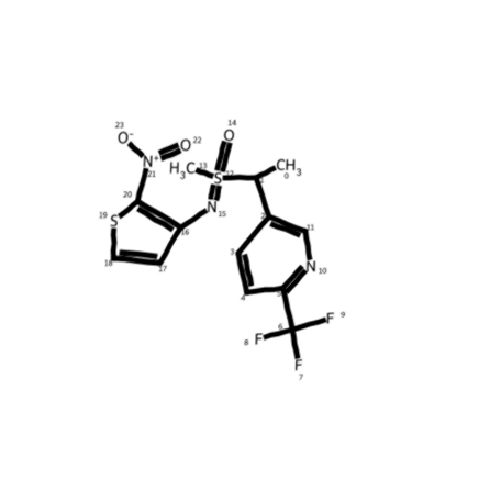 CC(c1ccc(C(F)(F)F)nc1)S(C)(=O)=Nc1ccsc1[N+](=O)[O-]